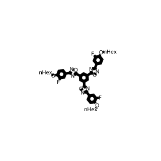 CCCCCCOc1ccc(-c2noc(-c3cc(-c4nc(-c5ccc(OCCCCCC)c(F)c5)no4)cc(-c4nc(-c5ccc(OCCCCCC)c(F)c5)no4)c3)n2)cc1F